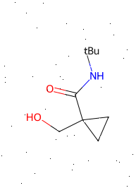 CC(C)(C)NC(=O)C1(CO)CC1